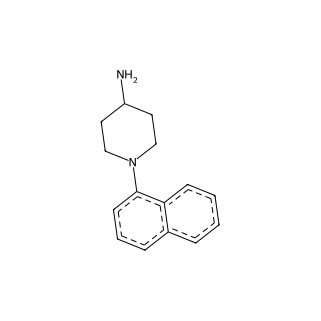 NC1CCN(c2cccc3ccccc23)CC1